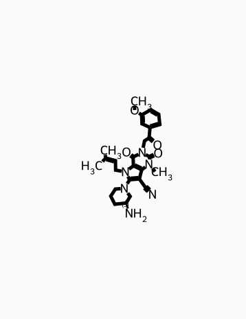 COc1cccc(C(=O)Cn2c(=O)c3c(c(C#N)c(N4CCC[C@H](N)C4)n3CC=C(C)C)n(C)c2=O)c1